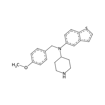 COc1ccc(CN(c2ccc3sccc3c2)C2CCNCC2)cc1